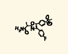 CC(C(N)=O)c1nc(-c2ccc(F)cc2)c(-c2ccc(S(C)(=O)=O)cc2)o1